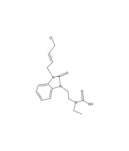 CCN(CCn1c(=O)n(C/C=C/CCl)c2ccccc21)C(=O)O